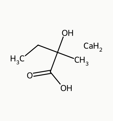 CCC(C)(O)C(=O)O.[CaH2]